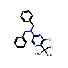 COC(C)(C)c1ncc(N(Cc2ccccc2)Cc2ccccc2)nc1Cl